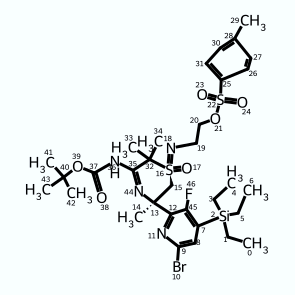 CC[Si](CC)(CC)c1cc(Br)nc([C@]2(C)C[S@](=O)(=NCCOS(=O)(=O)c3ccc(C)cc3)C(C)(C)C(NC(=O)OC(C)(C)C)=N2)c1F